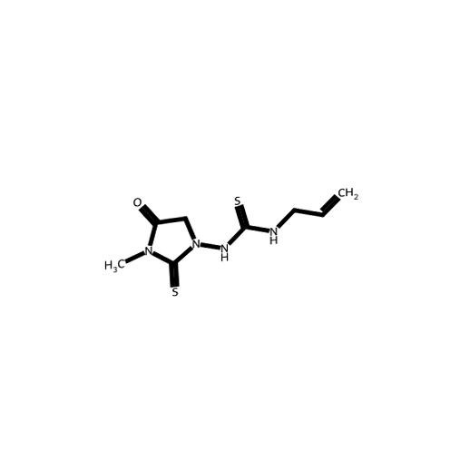 C=CCNC(=S)NN1CC(=O)N(C)C1=S